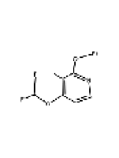 CCOc1nccc(OC(F)F)c1C